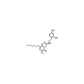 CCCCCCCC(=O)NC(CC(=O)NCCc1ccc(O)cc1O)C(N)=O